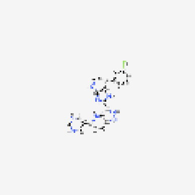 Fc1cccc(-c2ccnc3[nH]c(-c4n[nH]c5ccc(-c6cncnc6)nc45)nc23)c1